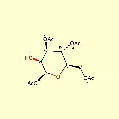 CC(=O)OC[C@H]1O[C@@H](OC(C)=O)[C@@H](O)[C@@H](OC(C)=O)[C@@H]1OC(C)=O